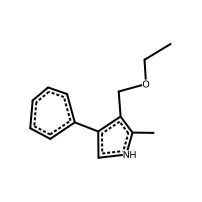 CCOCc1c(-c2ccccc2)c[nH]c1C